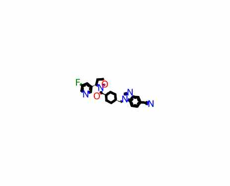 N#Cc1ccc2c(c1)ncn2C[C@H]1CC[C@H](C(=O)N2OCC[C@H]2c2cncc(F)c2)CC1